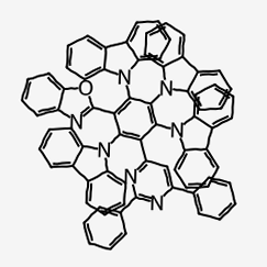 c1ccc(-c2cc(-c3c(-n4c5ccccc5c5ccccc54)c(-c4nc5ccccc5o4)c(-n4c5ccccc5c5ccccc54)c(-n4c5ccccc5c5ccccc54)c3-n3c4ccccc4c4ccccc43)nc(-c3ccccc3)n2)cc1